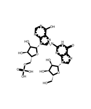 Nc1nc2c(ncn2[C@@H]2O[C@H](CO)[C@@H](O)[C@H]2O)c(=O)[nH]1.O=P(O)(O)OC[C@H]1O[C@@H](n2cnc3c(O)ncnc32)[C@H](O)[C@@H]1O